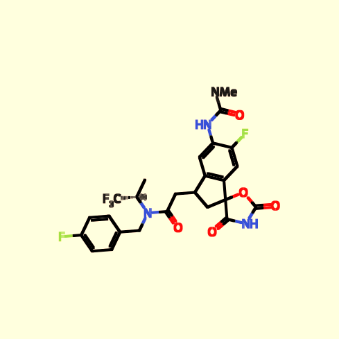 CNC(=O)Nc1cc2c(cc1F)C1(CC2CC(=O)N(Cc2ccc(F)cc2)[C@@H](C)C(F)(F)F)OC(=O)NC1=O